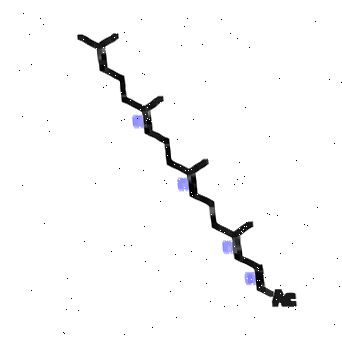 CC(=O)/C=C/C=C(\C)CC/C=C(\C)CC/C=C(\C)CCC=C(C)C